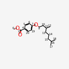 COC(=O)c1ccc(OCCC(C)CCCC(C)C)cc1